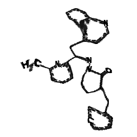 Cc1cccc(C(Cc2ccnc3ccccc23)=NN2CCC(Cc3ccccc3)C2=O)n1